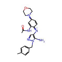 CC(=O)NC1=CC(=[N+]2CCOCC2)C=C/C1=N/c1cnn(Cc2ccc(C)cc2)c1N